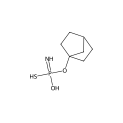 N=P(O)(S)OC12CCC(CC1)C2